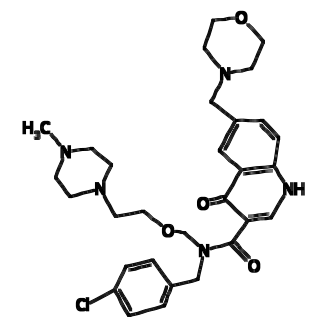 CN1CCN(CCOCN(Cc2ccc(Cl)cc2)C(=O)c2c[nH]c3ccc(CN4CCOCC4)cc3c2=O)CC1